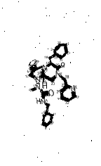 CN(C(=O)NCC1=CC=C=C=C1)N1CC(=O)N2[C@@H](Cc3ccccc3)C(=O)N(Cc3ccccn3)C[C@@H]21